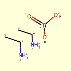 CC[NH3+].CC[NH3+].[O]=[Ti]([O-])[O-]